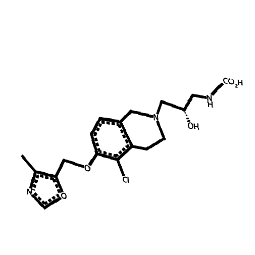 Cc1ncoc1COc1ccc2c(c1Cl)CCN(C[C@@H](O)CNC(=O)O)C2